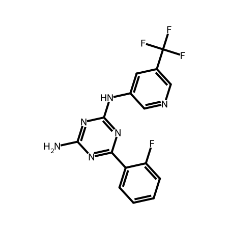 Nc1nc(Nc2cncc(C(F)(F)F)c2)nc(-c2ccccc2F)n1